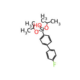 CC(C)O[Si](O)(OC(C)C)c1ccc(-c2ccc(F)cc2)cc1